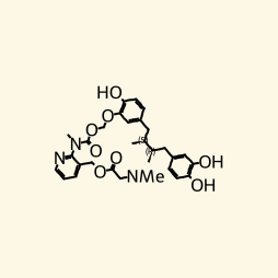 CNCC(=O)OCc1cccnc1N(C)C(=O)OCOc1cc(C[C@H](C)[C@H](C)Cc2ccc(O)c(O)c2)ccc1O